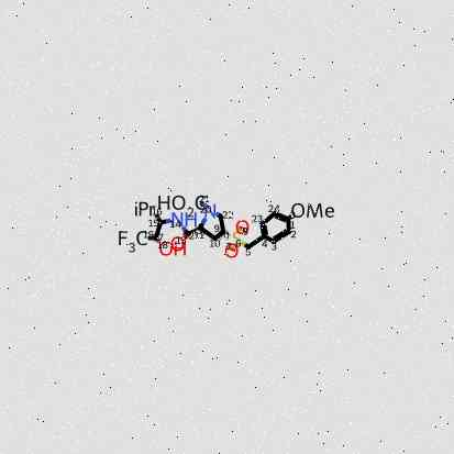 COc1ccc(CS(=O)(=O)[C@@H]2C[C@@H](C(=O)NC(C(C)C)C(O)C(F)(F)F)N(C(=O)O)C2)cc1